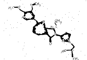 COc1cc(-c2ccc3c(n2)[C@H](C)N(c2ccn(C[C@@H](C)O)n2)C3=O)cnc1OC